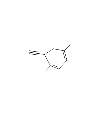 CC1=CC=C(F)C(C#N)C1